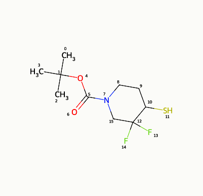 CC(C)(C)OC(=O)N1CCC(S)C(F)(F)C1